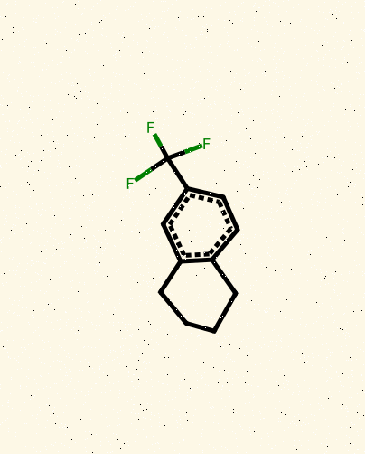 FC(F)(F)c1ccc2c(c1)CCCC2